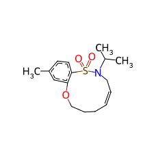 Cc1ccc2c(c1)OCCCC=CCN(C(C)C)S2(=O)=O